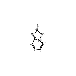 C=C1N=C2C=CC=NN2S1